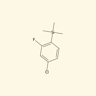 C[Si](C)(C)c1ccc(Cl)cc1F